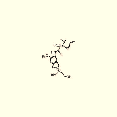 C=C/C=C\C(N(C)C)=[N+](\CC)C(=O)Nc1cc2cn([C@H](CCC)CCO)nc2cc1OCC